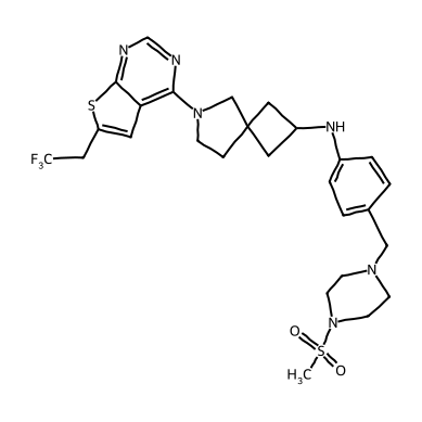 CS(=O)(=O)N1CCN(Cc2ccc(NC3CC4(CCN(c5ncnc6sc(CC(F)(F)F)cc56)C4)C3)cc2)CC1